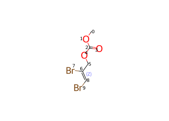 COC(=O)OC/C(Br)=C/Br